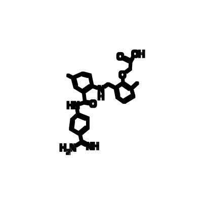 Cc1ccc(NCc2cccc(C)c2OCC(=O)O)c(C(=O)Nc2ccc(C(=N)N)cc2)c1